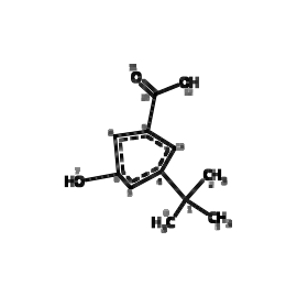 CC(C)(C)c1cc(O)cc(C(=O)O)c1